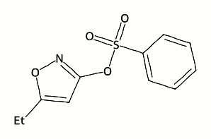 CCc1cc(OS(=O)(=O)c2ccccc2)no1